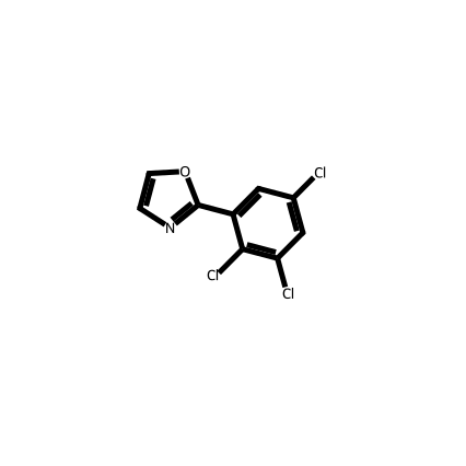 Clc1cc(Cl)c(Cl)c(-c2ncco2)c1